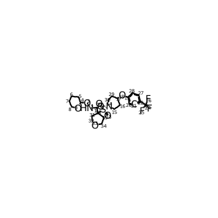 O=C(NOC1CCCCO1)C1(S(=O)(=O)N2CCC(Oc3ccc(C(F)(F)F)cc3)CC2)CCOCC1